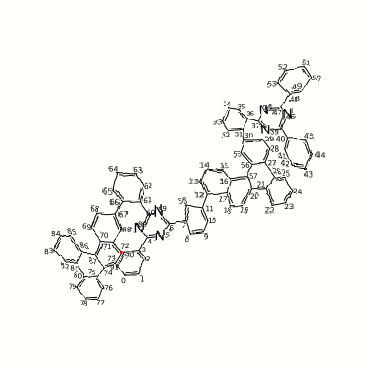 c1ccc(-c2nc(-c3cccc(-c4cccc5c4ccc4c6ccccc6c6ccc(-c7ccccc7-c7nc(-c8ccccc8)nc(-c8ccccc8)n7)cc6c54)c3)nc(-c3ccccc3-c3ccc4c(ccc5c6ccccc6c6ccccc6c45)c3)n2)cc1